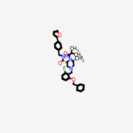 CC(C)C(=O)N1[C@H](C)CN(Cc2c(F)cccc2OCc2ccccc2)C[C@@H]1C(=O)NCc1ccc(-c2ccco2)cc1